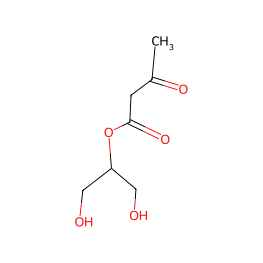 CC(=O)CC(=O)OC(CO)CO